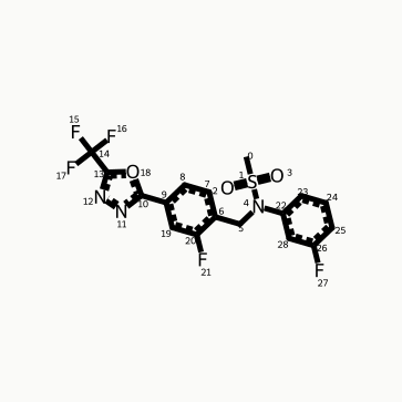 CS(=O)(=O)N(Cc1ccc(-c2nnc(C(F)(F)F)o2)cc1F)c1cccc(F)c1